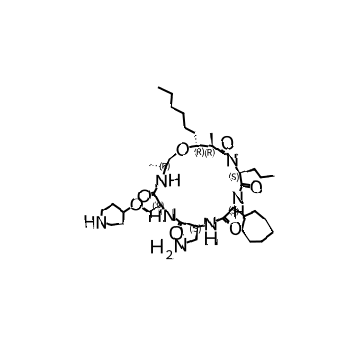 CCCCCC[C@H]1OC[C@@H](C)NC(=O)[C@H](COC2CCNCC2)NC(=O)[C@H](CN)NC(=O)[C@H](C2CCCCCC2)NC(=O)[C@H](CCC)N(C)C(=O)[C@@H]1C